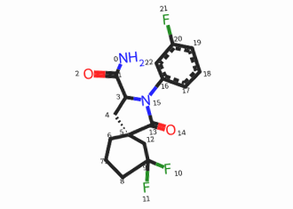 NC(=O)C1C[C@]2(C[CH]CC(F)(F)C2)C(=O)N1c1cccc(F)c1